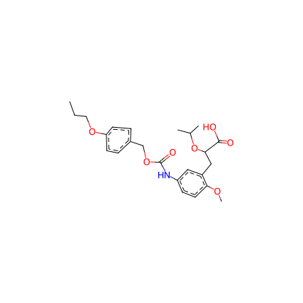 CCCOc1ccc(COC(=O)Nc2ccc(OC)c(CC(OC(C)C)C(=O)O)c2)cc1